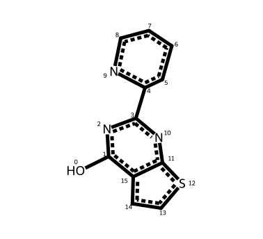 Oc1nc(-c2ccccn2)nc2sccc12